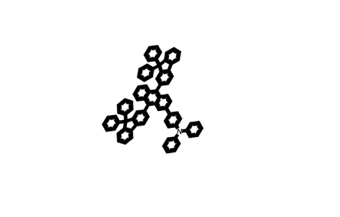 c1ccc(N(c2ccccc2)c2ccc(-c3ccc4c(-c5ccc6c(c5)C(c5ccccc5)(c5ccccc5)c5ccccc5-6)c5ccccc5c(-c5ccc6c(c5)C(c5ccccc5)(c5ccccc5)c5ccccc5-6)c4c3)cc2)cc1